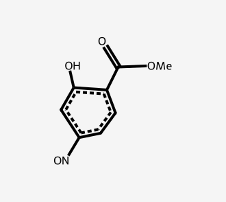 COC(=O)c1ccc(N=O)cc1O